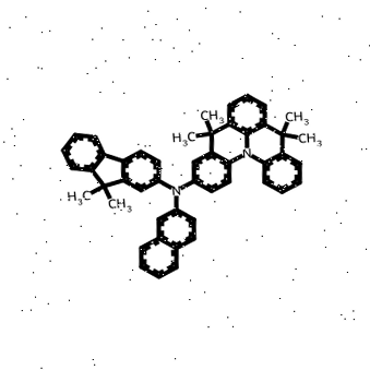 CC1(C)c2ccccc2-c2ccc(N(c3ccc4c(c3)C(C)(C)c3cccc5c3N4c3ccccc3C5(C)C)c3ccc4ccccc4c3)cc21